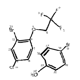 FC(F)(F)COc1ccc(Cl)cc1Br.Oc1ccc(Br)cc1